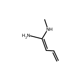 C=C/C=C(/N)NC